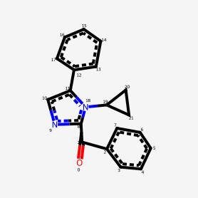 O=C(c1ccccc1)c1ncc(-c2ccccc2)n1C1CC1